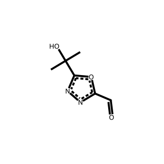 CC(C)(O)c1nnc(C=O)o1